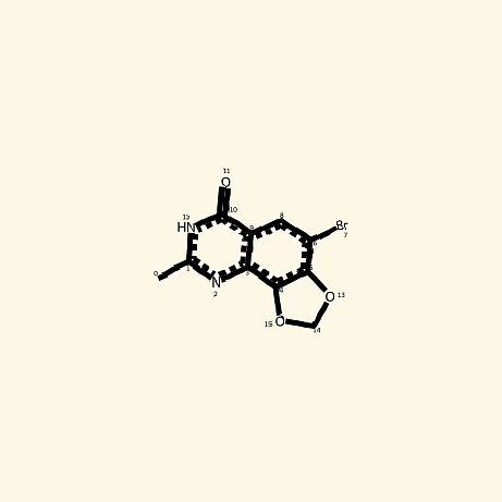 Cc1nc2c3c(c(Br)cc2c(=O)[nH]1)OCO3